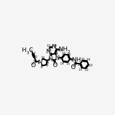 CC#CC(=O)N1CCC(n2c(=O)n(-c3ccc(NC(=O)c4ccccc4)cc3)c3c(N)ncnc32)C1